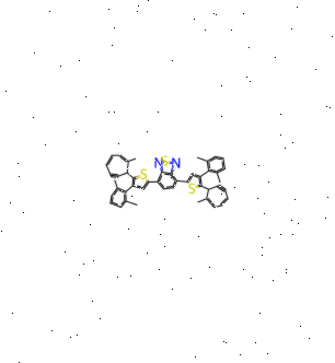 CC1=CC=CC#CC1c1sc(-c2ccc(-c3cc(-c4c(C)cccc4C)c(C4C#CC=CC=C4C)s3)c3nsnc23)cc1-c1c(C)cccc1C